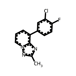 Cc1nc2c(-c3ccc(F)c(Cl)c3)cccn2n1